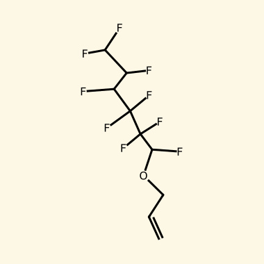 C=CCOC(F)C(F)(F)C(F)(F)C(F)C(F)C(F)F